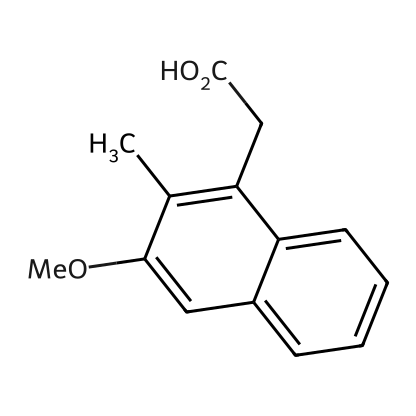 COc1cc2ccccc2c(CC(=O)O)c1C